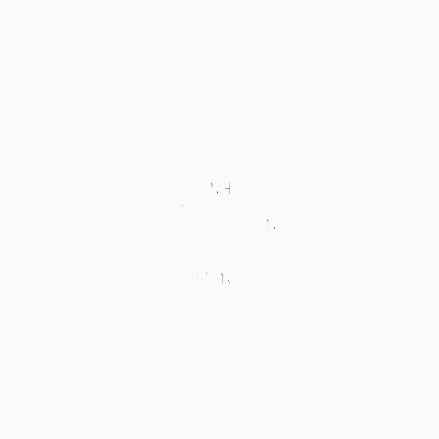 O=[N+]([O-])c1ccncc1-c1cccc2c1[nH]c1ccccc12